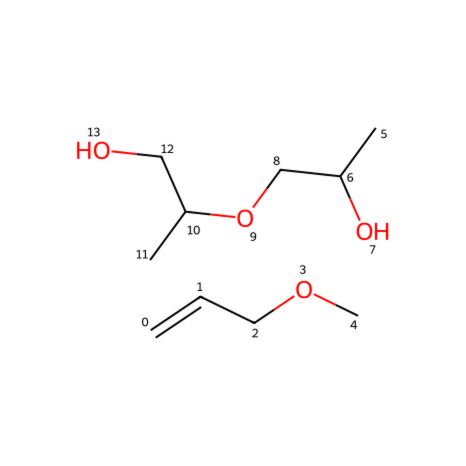 C=CCOC.CC(O)COC(C)CO